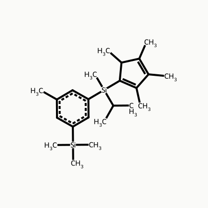 CC1=C(C)C(C)C([Si](C)(c2cc(C)cc([Si](C)(C)C)c2)C(C)C)=C1C